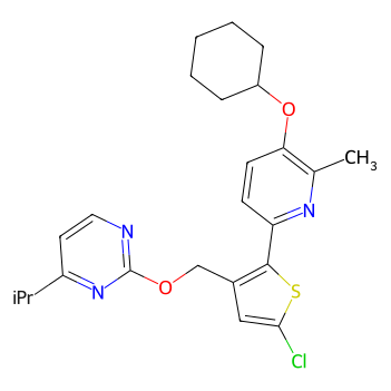 Cc1nc(-c2sc(Cl)cc2COc2nccc(C(C)C)n2)ccc1OC1CCCCC1